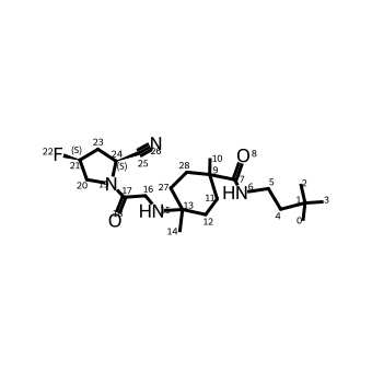 CC(C)(C)CCNC(=O)C1(C)CCC(C)(NCC(=O)N2C[C@@H](F)C[C@H]2C#N)CC1